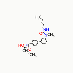 C=C(O)/C(=C/c1ccc(-c2cccc(N(C)C(=O)NCCCCC)c2)cc1)OCC